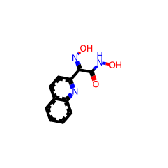 O=C(NO)C(=NO)c1ccc2ccccc2n1